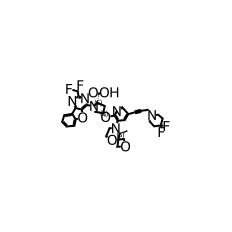 C[C@@H]1N(c2cc(C#CCN3CCC(F)(F)CC3)cnc2O[C@H]2C[C@@H](C(=O)O)N(c3nc(C(F)F)nc4c3oc3ccccc34)C2)CCOC12COC2